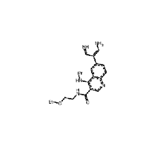 CCOCCNC(=O)c1cnc2ccc(/C(C=N)=C/N)cc2c1NC(C)C